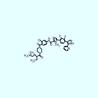 CCC(CCN(C)C)C(=O)N1CCN(C(=O)c2ccc(NC(=O)c3ncc(-c4ccc(-c5cn[nH]c5-c5ccccn5)c(F)c4F)n3C)cc2Cl)CC1